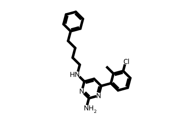 Cc1c(Cl)cccc1-c1cc(NCCCCc2ccccc2)nc(N)n1